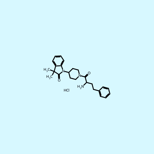 CC1(C)C(=O)N(C2CCN(C(=O)C(N)CCc3ccccc3)CC2)c2ccccc21.Cl